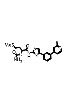 CSCCC(OC(N)=O)C(=O)Nc1nc(-c2cccc(-c3ccnc(C)c3)c2)cs1